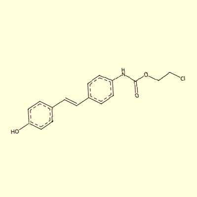 O=C(Nc1ccc(C=Cc2ccc(O)cc2)cc1)OCCCl